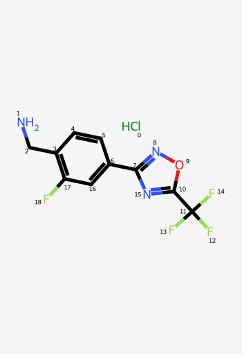 Cl.NCc1ccc(-c2noc(C(F)(F)F)n2)cc1F